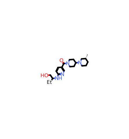 CCC(CO)Nc1ccc(C(=O)N2CCC(N3CCC[C@@H](C)C3)CC2)cn1